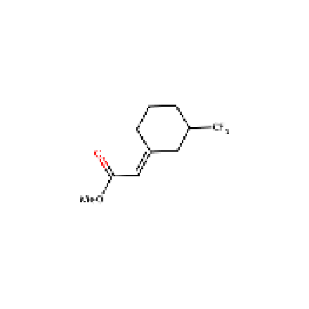 COC(=O)/C=C1\CCCC(C(F)(F)F)C1